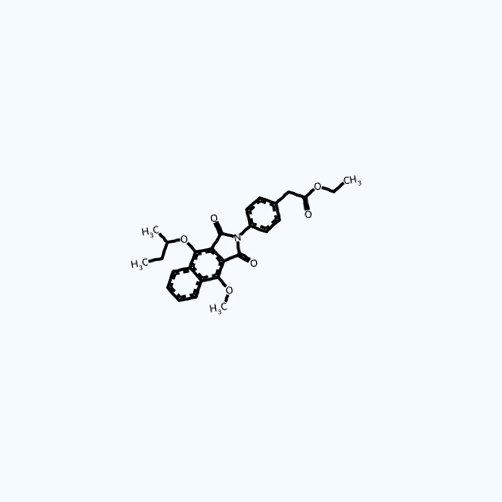 CCOC(=O)Cc1ccc(N2C(=O)c3c(c(OC(C)CC)c4ccccc4c3OC)C2=O)cc1